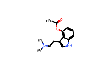 CCCC(=O)Oc1cccc2[nH]cc(CCN(C(C)C)C(C)C)c12